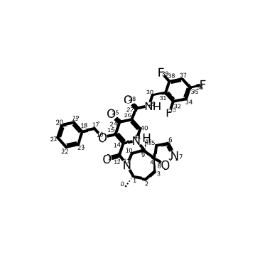 C[C@H]1CC[C@]2(CC=NO2)[C@H]2CN1C(=O)c1c(OCc3ccccc3)c(=O)c(C(=O)NCc3c(F)cc(F)cc3F)cn12